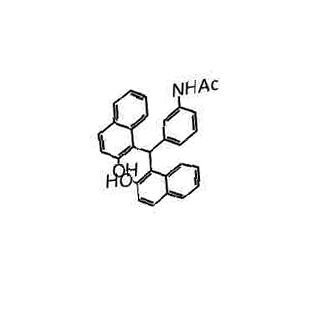 CC(=O)Nc1cccc(C(c2c(O)ccc3ccccc23)c2c(O)ccc3ccccc23)c1